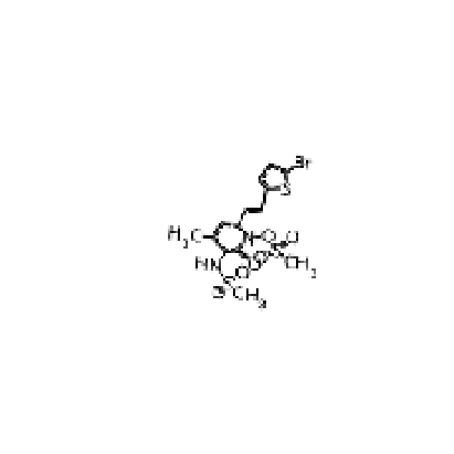 Cc1cc(C=Cc2ccc(Br)s2)n(OS(C)(=O)=O)c(=O)c1NS(C)(=O)=O